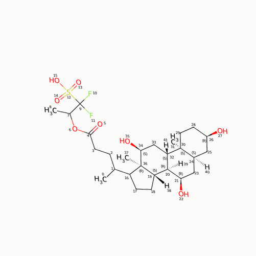 CC(CCC(=O)OC(C)C(F)(F)S(=O)(=O)O)C1CC[C@H]2[C@@H]3[C@H](O)C[C@@H]4C[C@H](O)CC[C@]4(C)[C@H]3C[C@H](O)[C@]12C